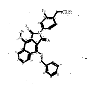 CCOC(=O)Cc1ccc(N2C(=O)c3c(c(OC(C)C)c4ccccc4c3OCc3ccccc3)C2=O)cc1F